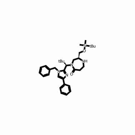 CC(C)(C)[C@H](c1nc(-c2ccccc2)cn1Cc1ccccc1)N1C[C@@H](CO[Si](C)(C)C(C)(C)C)NCCC1=O